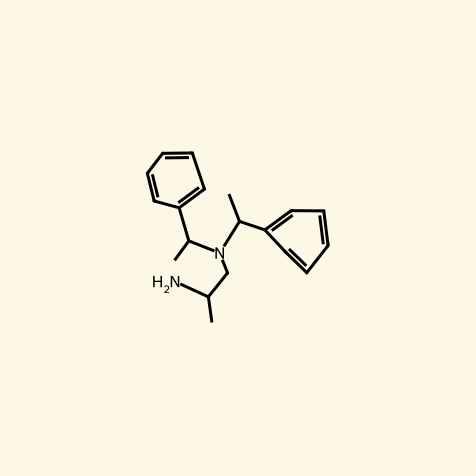 CC(N)CN(C(C)c1ccccc1)C(C)c1ccccc1